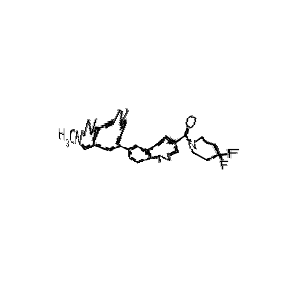 Cn1cc2cc(-c3ccc4ncc(C(=O)N5CCC(F)(F)CC5)cc4c3)cnc2n1